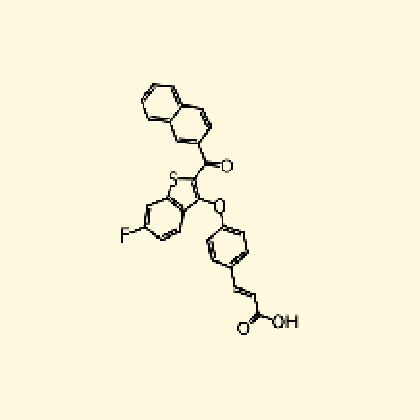 O=C(O)/C=C/c1ccc(Oc2c(C(=O)c3ccc4ccccc4c3)sc3cc(F)ccc23)cc1